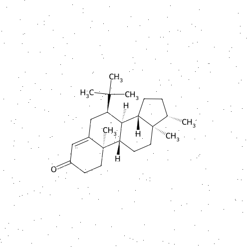 C[C@H]1CC[C@H]2[C@@H]3[C@H](C(C)(C)C)CC4=CC(=O)CC[C@]4(C)[C@H]3CC[C@]12C